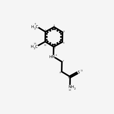 Cc1cccc(NCCC(N)=S)c1C